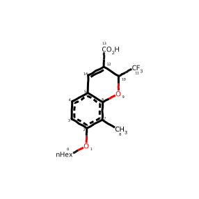 CCCCCCOc1ccc2c(c1C)OC(C(F)(F)F)C(C(=O)O)=C2